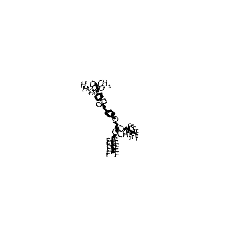 CCC(C)(C)C(=O)N[C@H]1CC[C@H](OC(=O)/C=C/c2ccc(OCCCC(C)(OCCC(F)(F)C(F)(F)C(F)(F)C(F)F)OCCC(F)(F)C(F)(F)C(F)(F)C(F)F)cc2)CC1